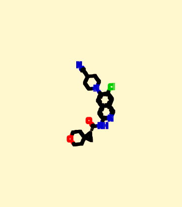 N#CC1CCN(c2cc3cc(NC(=O)[C@@H]4CC45CCOCC5)ncc3cc2Cl)CC1